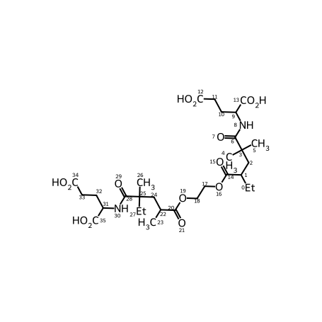 CCC(CC(C)(C)C(=O)NC(CCC(=O)O)C(=O)O)C(=O)OCCOC(=O)C(C)CC(C)(CC)C(=O)NC(CCC(=O)O)C(=O)O